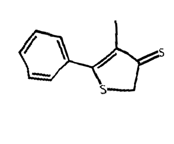 CC1=C(c2ccccc2)SCC1=S